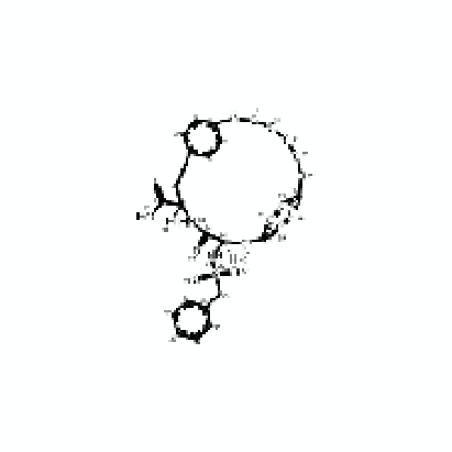 C=C(O)[C@@H]1Cc2ccc(cc2)OCCCCOc2ccc(cc2)C[C@@H](NS(=O)(=O)Cc2ccccc2)C(=O)N1